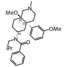 COc1cccc([C@@]23CCN(C)C[C@@]2(OC)CC[C@@H](N(CC(C)C)C(=O)c2ccccc2)C3)c1